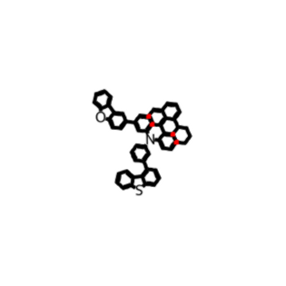 c1cc(-c2ccc3oc4ccccc4c3c2)cc(N(c2cccc(-c3cccc4sc5ccccc5c34)c2)c2ccccc2-c2cccc3cccc(C4CCCCC4)c23)c1